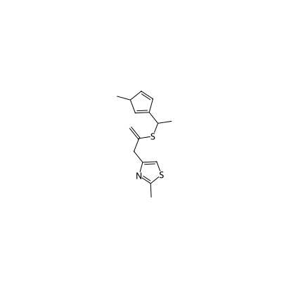 C=C(Cc1csc(C)n1)SC(C)C1=CC(C)C=C1